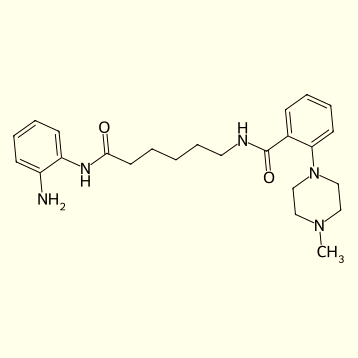 CN1CCN(c2ccccc2C(=O)NCCCCCC(=O)Nc2ccccc2N)CC1